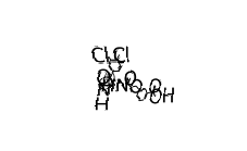 O=C(COc1cccc(C(=O)O)c1)NC[C@@H]1CNCCO[C@H]1c1ccc(Cl)c(Cl)c1